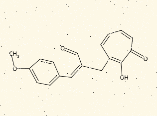 COc1ccc(/C=C(\C=O)Cc2ccccc(=O)c2O)cc1